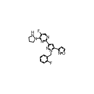 Fc1ccccc1Cn1nc(-c2ncc(F)c(N3CCCN3)n2)cc1-c1ccon1